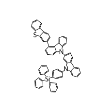 c1ccc([Si](c2ccccc2)(c2ccccc2)c2ccc(-n3c4ccccc4c4ccc(-n5c6ccccc6c6c(-c7ccc8c(c7)sc7ccccc78)cccc65)cc43)cc2)cc1